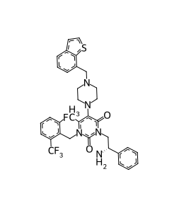 Cc1c(N2CCN(Cc3cccc4ccsc34)CC2)c(=O)n(C[C@@H](N)c2ccccc2)c(=O)n1Cc1c(F)cccc1C(F)(F)F